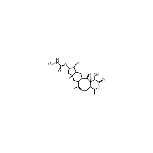 C=C1C2CC3C(C(C)C)C(OC(=O)NC(C)(C)C)CC3(C)CC2C(C)=CCC2C(C)OC(=O)C(O)C12O